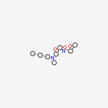 c1ccc(-c2ccc(-c3ccc(N(c4ccccc4)c4ccc5c(c4)oc4ccc6oc(-c7cccc8c7oc7ccccc78)nc6c45)cc3)cc2)cc1